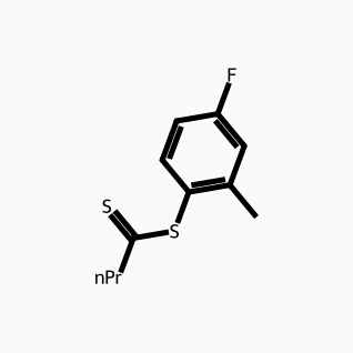 CCCC(=S)Sc1ccc(F)cc1C